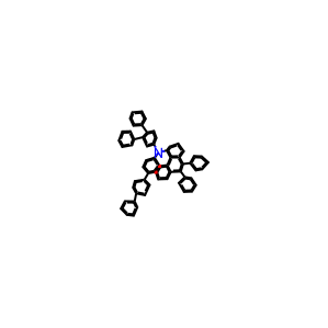 c1ccc(-c2ccc(-c3ccc(N(c4ccc(-c5ccccc5)c(-c5ccccc5)c4)c4cccc5c(-c6ccccc6)c(-c6ccccc6)c6ccccc6c45)cc3)cc2)cc1